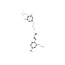 CCCc1cc(C(F)(F)F)ccc1C=CC(=O)NCCCc1cc(F)c(NS(C)(=O)=O)c(F)c1